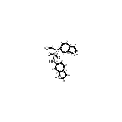 O=[C]N(c1ccc2cc[nH]c2c1)S(=O)(=O)Nc1ccc2cc[nH]c2c1